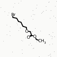 CCOC(=O)COCCCCCCBr